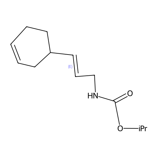 CC(C)OC(=O)NC/C=C/C1CC=CCC1